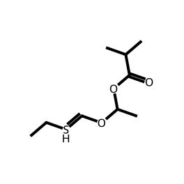 CC[SH]=COC(C)OC(=O)C(C)C